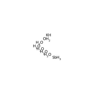 O.O.O.O.O.O.[KH].[SbH3]